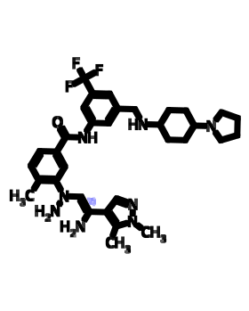 Cc1ccc(C(=O)Nc2cc(CNC3CCC(N4CCCC4)CC3)cc(C(F)(F)F)c2)cc1N(N)/C=C(\N)c1cnn(C)c1C